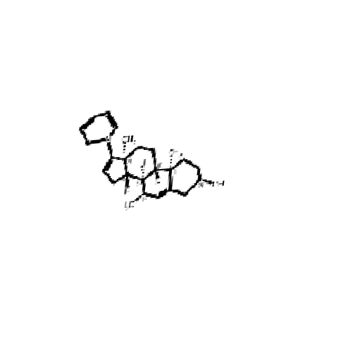 C[C@@H]1C=C2C[C@H](O)CC[C@]2(C)[C@H]2CC[C@]3(C)C(N4C=CC=CC4)=CC[C@H]3[C@H]12